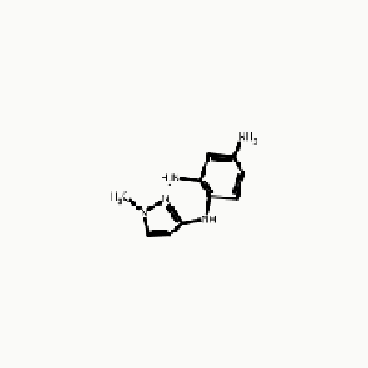 Cn1ccc(Nc2ccc(N)cc2N)n1